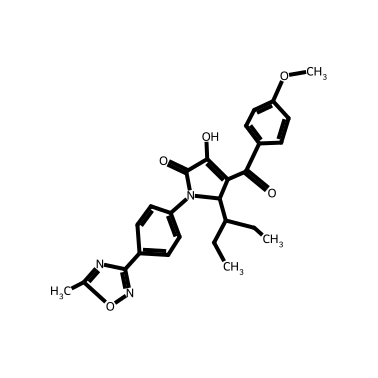 CCC(CC)C1C(C(=O)c2ccc(OC)cc2)=C(O)C(=O)N1c1ccc(-c2noc(C)n2)cc1